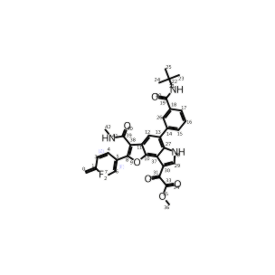 C=C(F)/C=C\C(=C/C)c1oc2c(cc(-c3cccc(C(=O)NC(C)(C)C)c3)c3[nH]cc(C(=O)C(=O)OC)c32)c1C(=O)NC